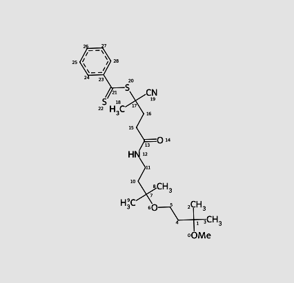 COC(C)(C)CCOC(C)(C)CCNC(=O)CCC(C)(C#N)SC(=S)c1ccccc1